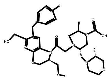 COC[C@H]1COc2nc(CO)c(Cc3ccc(F)cc3)cc2N1C(=O)CN1C[C@@H](C)N(C(=O)O)C[C@@H]1CN1CCOC[C@H]1C